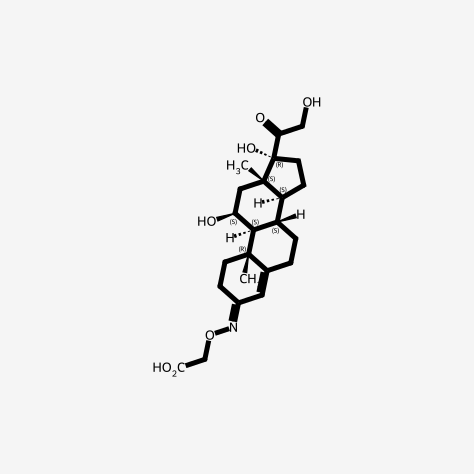 C[C@]12CCC(=NOCC(=O)O)C=C1CC[C@@H]1[C@@H]2[C@@H](O)C[C@@]2(C)[C@H]1CC[C@]2(O)C(=O)CO